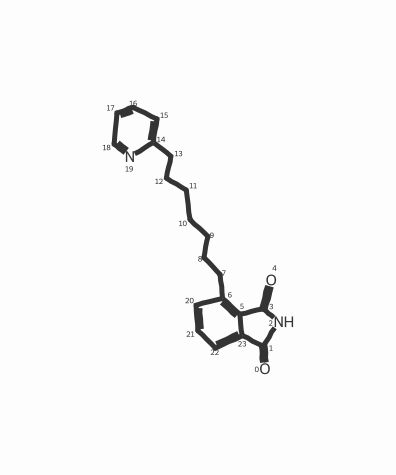 O=C1NC(=O)c2c(CCCCCCCc3ccccn3)cccc21